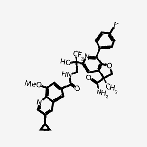 COc1cc(C(=O)NC[C@](O)(c2cc3c(c(-c4ccc(F)cc4)n2)OC[C@]3(C)C(N)=O)C(F)(F)F)cc2cc(C3CC3)cnc12